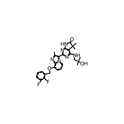 Cc1nc2c(OCc3cccc(F)c3F)cccn2c1-c1nc(NCC(C)(C)O)c2c(n1)NC(=O)C2(C)C